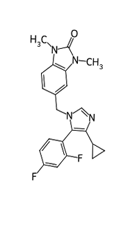 Cn1c(=O)n(C)c2cc(Cn3cnc(C4CC4)c3-c3ccc(F)cc3F)ccc21